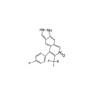 CC(F)(F)c1c(-c2ccc(F)cc2)c2cc3c[nH][nH]c3cc2c[n+]1=O